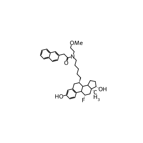 COCCN(CCCCC[C@@H]1Cc2cc(O)ccc2C2C1C1CC[C@H](O)[C@@]1(C)C[C@@H]2F)C(=O)Cc1ccc2ccccc2c1